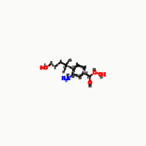 CC(C)(CCCO)c1ccc(C(=O)OO)cc1N